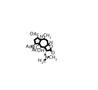 CC(=O)O[C@H]1C[C@H](OC(C)=O)[C@]2(C)[C@@H]1[C@H](C)C[C@@H]1OC(=O)[C@H](CN(C)C)[C@H]1[C@@H]2OC(C)=O